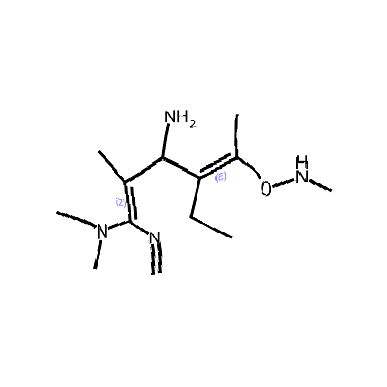 C=N/C(=C(/C)C(N)/C(CC)=C(\C)ONC)N(C)C